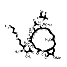 COc1cc2cc(c1Cl)N(C)C(=O)C[C@H](OC(=O)[C@H](C)N(C)C(=O)CCSSCCN)C1(C)O[C@H]1[C@H](C)[C@@H]1C[C@@](O)(NC(=O)O1)[C@H](OC)/C=C/C=C(\C)C2.O=C(O)C(F)(F)F